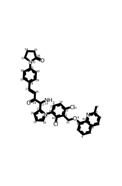 Cc1ccc2cccc(OCc3c(Cl)ccc(-n4cccc4C(N)C(=O)/C=C/c4ccc(N5CCCC5=O)cc4)c3Cl)c2n1